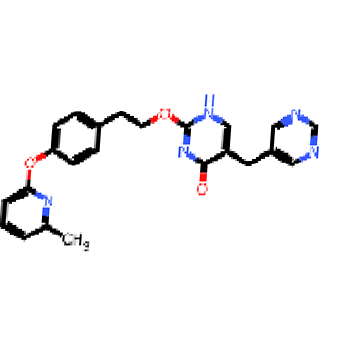 Cc1cccc(Oc2ccc(CCOc3nc(=O)c(Cc4cncnc4)c[nH]3)cc2)n1